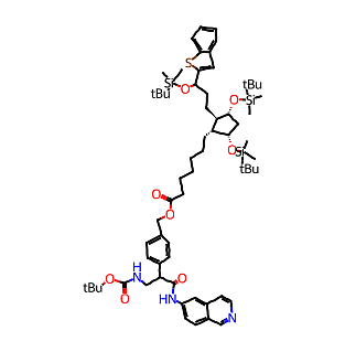 CC(C)(C)OC(=O)NCC(C(=O)Nc1ccc2cnccc2c1)c1ccc(COC(=O)CCCCCC[C@@H]2[C@@H](CCC(O[Si](C)(C)C(C)(C)C)c3cc4ccccc4s3)[C@H](O[Si](C)(C)C(C)(C)C)C[C@@H]2O[Si](C)(C)C(C)(C)C)cc1